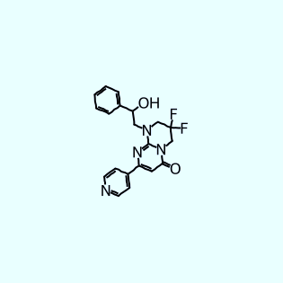 O=c1cc(-c2ccncc2)nc2n1CC(F)(F)CN2CC(O)c1ccccc1